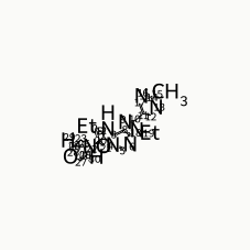 CC[C@H](Nc1ncnc2c1nc(-c1cnc(C)nc1)n2CC)C(=O)N1C[C@H]2C[C@@H]1CO2